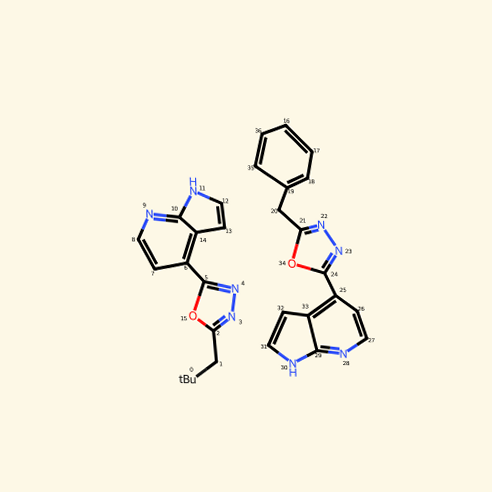 CC(C)(C)Cc1nnc(-c2ccnc3[nH]ccc23)o1.c1ccc(Cc2nnc(-c3ccnc4[nH]ccc34)o2)cc1